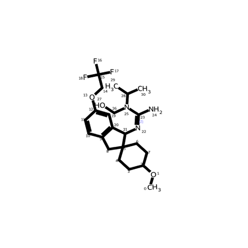 COC1CCC2(CC1)Cc1ccc(OCC(F)(F)F)cc1C2/N=C(/N)N(CO)C(C)C